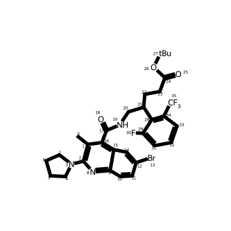 Cc1c(N2CCCC2)nc2ccc(Br)cc2c1C(=O)NCC(CCC(=O)OC(C)(C)C)c1c(F)cccc1C(F)(F)F